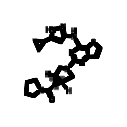 O=C([C@H]1[C@@H]2CN(c3nc(Nc4cc(C5CC5)[nH]n4)c4sccc4n3)C[C@@H]21)N1CCCC1